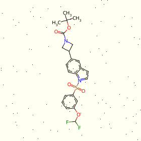 CC(C)(C)OC(=O)N1CC(c2ccc3c(ccn3S(=O)(=O)c3cccc(OC(F)F)c3)c2)C1